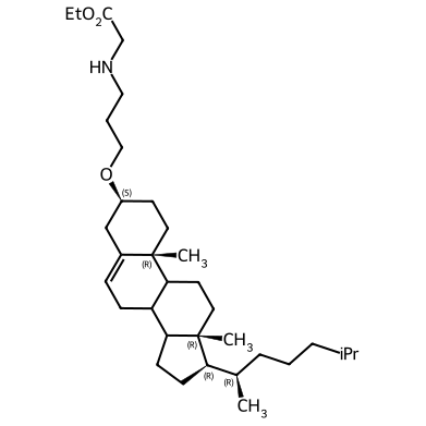 CCOC(=O)CNCCCO[C@H]1CC[C@@]2(C)C(=CCC3C2CC[C@@]2(C)C3CC[C@@H]2[C@H](C)CCCC(C)C)C1